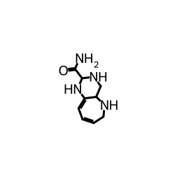 NC(=O)C1NCC2NCC=CC=C2N1